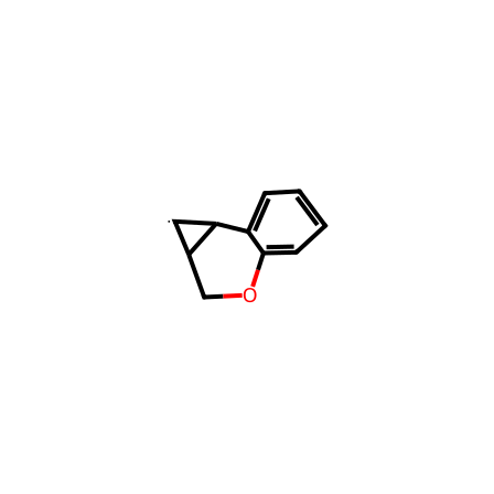 [CH]1C2COc3ccccc3C12